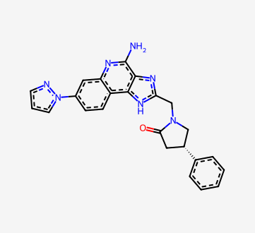 Nc1nc2cc(-n3cccn3)ccc2c2[nH]c(CN3C[C@H](c4ccccc4)CC3=O)nc12